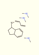 C=CC=C.C[N-]C.C[N-]C.C[N-]C.[Ti+3][CH]1CCC2C=CC=CC12